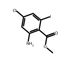 COC(=O)c1c(N)cc(Cl)cc1I